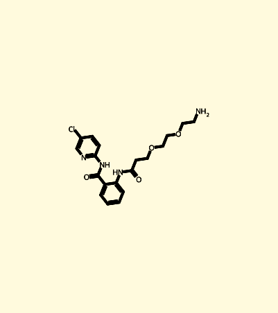 NCCOCCOCCC(=O)Nc1ccccc1C(=O)Nc1ccc(Cl)cn1